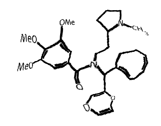 COc1cc(C(=O)N(CCC2CCCN2C)C(C2=CC=CCC2)C2=COC=CO2)cc(OC)c1OC